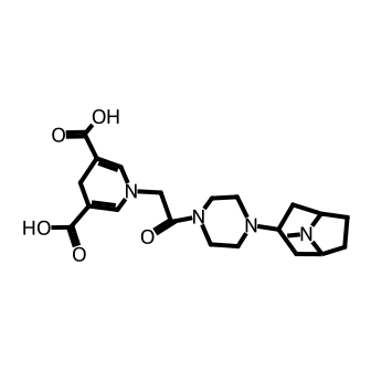 CN1C2CCC1CC(N1CCN(C(=O)CN3C=C(C(=O)O)CC(C(=O)O)=C3)CC1)C2